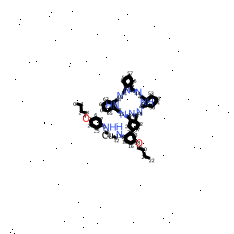 CCCCOc1ccc(N[CH2][Cu][CH2]Nc2ccc(OCCCC)cc2)cc1.c1ccc2c(c1)-c1nc-2nc2[nH]c(nc3nc(nc4[nH]c(n1)c1ccccc41)-c1ccccc1-3)c1ccccc21